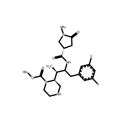 CCCCN1C[C@@H](C(=O)NC(Cc2cc(F)cc(F)c2)[C@H](C)[C@H]2CNCCN2C(=O)OC(C)(C)C)CC1=O